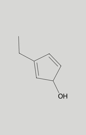 CCC1=CC(O)C=C1